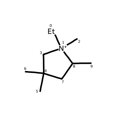 CC[N+]1(C)CC(C)(C)CC1C